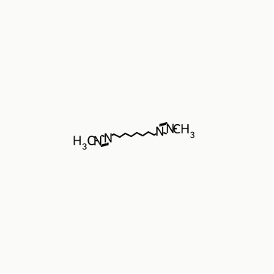 CN1C=CN(CCCCCCCCN2C=CN(C)C2)C1